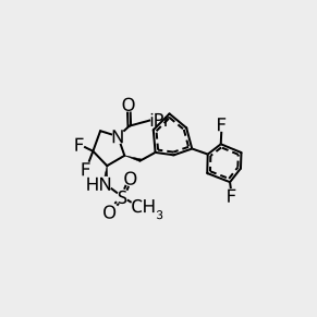 CC(C)C(=O)N1CC(F)(F)[C@H](NS(C)(=O)=O)[C@@H]1Cc1cccc(-c2cc(F)ccc2F)c1